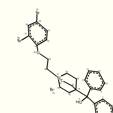 OC(c1ccccc1)(c1ccccc1)C12CC[N+](CCOc3ccc(Br)cc3Br)(CC1)CC2.[Br-]